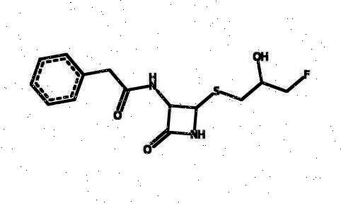 O=C(Cc1ccccc1)NC1C(=O)NC1SCC(O)CF